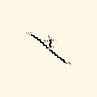 CCCCCCCCCCCCN(CCCCCCCCCCCC)C(=O)CCC(C)(C)C